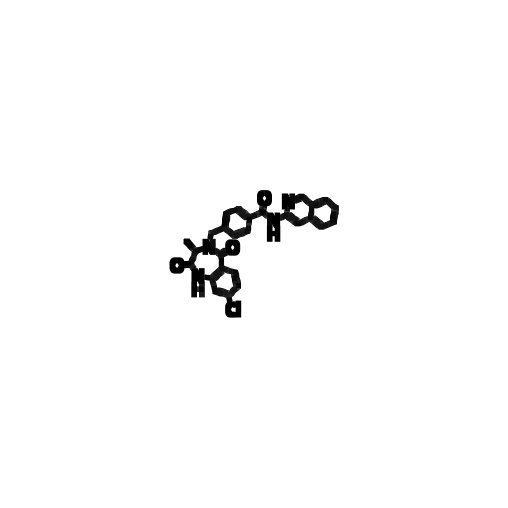 C[C@@H]1C(=O)Nc2cc(Cl)ccc2C(=O)N1Cc1ccc(C(=O)Nc2cc3ccccc3cn2)cc1